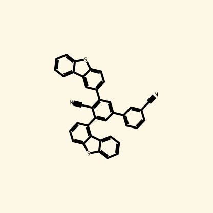 N#Cc1cccc(-c2cc(-c3ccc4sc5ccccc5c4c3)c(C#N)c(-c3cccc4sc5ccccc5c34)c2)c1